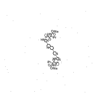 COC(=O)N[C@H](C(=O)N1CCC[C@H]1c1nc(-c2cnc3cc(-c4ccc(-c5cnc([C@@H]6CCCN6C(=O)[C@@H](NC(=O)OC)C(C)C)[nH]5)nc4)ccc3c2)c[nH]1)C(C)C